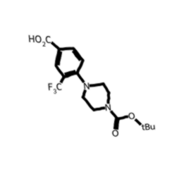 CC(C)(C)OC(=O)N1CCN(c2ccc(C(=O)O)cc2C(F)(F)F)CC1